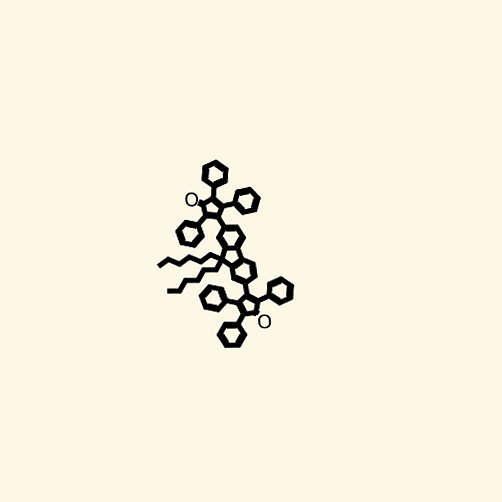 CCCCCCC1(CCCCCC)c2cc(C3=C(c4ccccc4)C(=O)C(c4ccccc4)=C3c3ccccc3)ccc2-c2ccc(C3=C(c4ccccc4)C(=O)C(c4ccccc4)=C3c3ccccc3)cc21